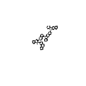 c1ccc2cc3c(cc2c1)c1ccccc1n3-c1ccc2cc3c4ccccc4n(-c4cccc5cc(-c6nc7ccccc7nc6-c6ccc7ccc8ccccc8c7c6)ccc45)c3cc2c1